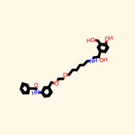 O=C(Nc1cccc(COCCOCCCCCCNC[C@H](O)c2ccc(O)c(CO)c2)c1)c1ccccc1